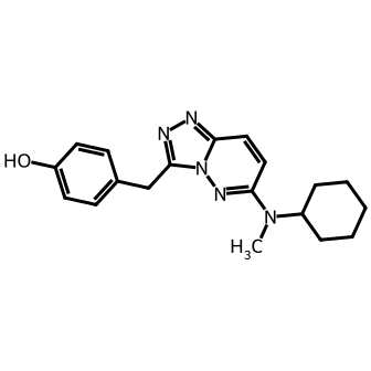 CN(c1ccc2nnc(Cc3ccc(O)cc3)n2n1)C1CCCCC1